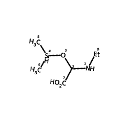 CCNC(O[SiH](C)C)C(=O)O